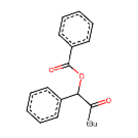 CC(C)(C)C(=O)C(OC(=O)c1ccccc1)c1ccccc1